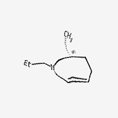 CCN1C=CC[C@H]1C